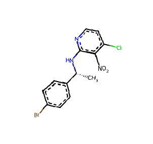 C[C@@H](Nc1nccc(Cl)c1[N+](=O)[O-])c1ccc(Br)cc1